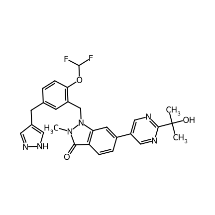 Cn1c(=O)c2ccc(-c3cnc(C(C)(C)O)nc3)cc2n1Cc1cc(Cc2cn[nH]c2)ccc1OC(F)F